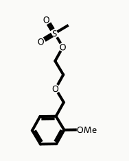 COc1ccccc1COCCOS(C)(=O)=O